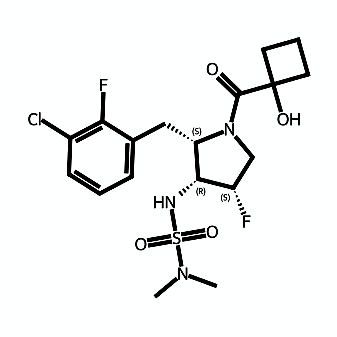 CN(C)S(=O)(=O)N[C@H]1[C@@H](F)CN(C(=O)C2(O)CCC2)[C@H]1Cc1cccc(Cl)c1F